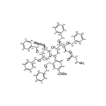 COc1ccc(OC[C@@H](O[C@@H]2O[C@H](COCc3ccccc3)[C@@H](OCc3ccccc3)[C@H](OCc3ccccc3)[C@H]2N=[N+]=[N-])[C@@H](OCc2ccccc2)[C@H](COC(=O)CCC(C)=O)OCc2ccccc2)cc1